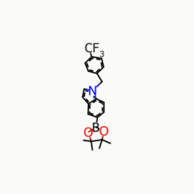 CC1(C)OB(c2ccc3c(ccn3Cc3ccc(C(F)(F)F)cc3)c2)OC1(C)C